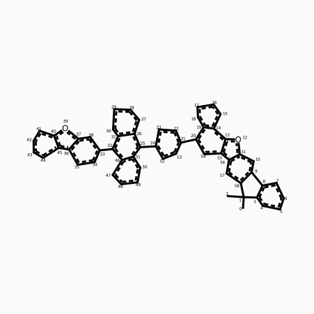 CC1(C)c2ccccc2-c2cc3oc4c5ccccc5c(-c5ccc(-c6c7ccccc7c(-c7ccc8c(c7)oc7ccccc78)c7ccccc67)cc5)cc4c3cc21